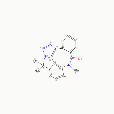 CC(C)(C)N1C(=O)c2ccccc2-c2nnn3c2-c2c1cccc2C3(C)C